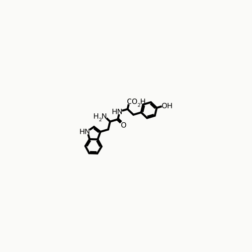 NC(Cc1c[nH]c2ccccc12)C(=O)NC(Cc1ccc(O)cc1)C(=O)O